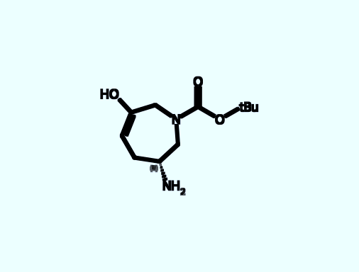 CC(C)(C)OC(=O)N1CC(O)=CC[C@@H](N)C1